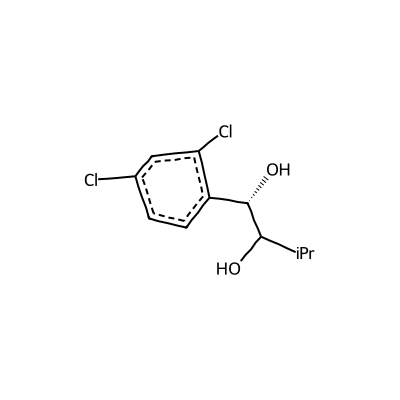 CC(C)C(O)[C@@H](O)c1ccc(Cl)cc1Cl